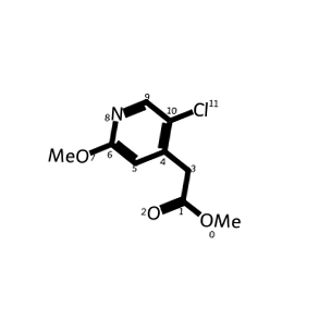 COC(=O)Cc1cc(OC)ncc1Cl